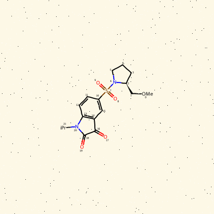 COC[C@@H]1CCCN1S(=O)(=O)c1ccc2c(c1)C(=O)C(=O)N2C(C)C